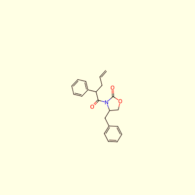 C=CCC(C(=O)N1C(=O)OCC1Cc1ccccc1)c1ccccc1